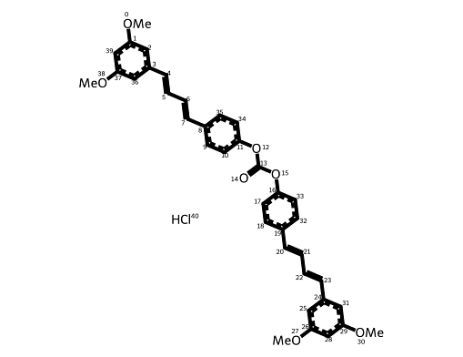 COc1cc(/C=C/C=C/c2ccc(OC(=O)Oc3ccc(/C=C/C=C/c4cc(OC)cc(OC)c4)cc3)cc2)cc(OC)c1.Cl